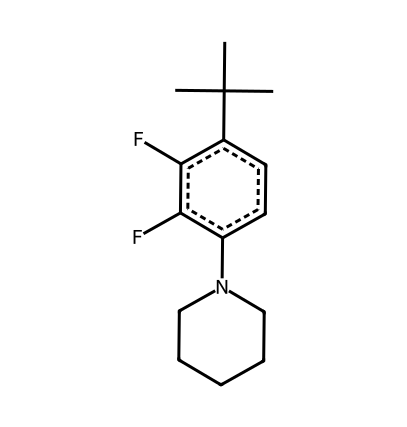 CC(C)(C)c1ccc(N2CCCCC2)c(F)c1F